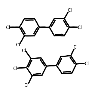 Clc1ccc(-c2cc(Cl)c(Cl)c(Cl)c2)cc1Cl.Clc1ccc(-c2ccc(Cl)c(Cl)c2)cc1Cl